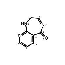 O=C1N=CCNc2ncccc21